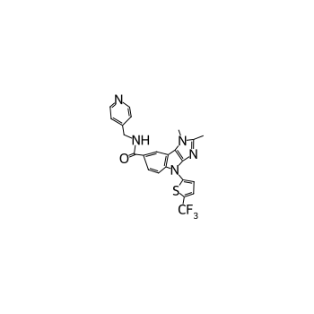 Cc1nc2c(c3cc(C(=O)NCc4ccncc4)ccc3n2-c2ccc(C(F)(F)F)s2)n1C